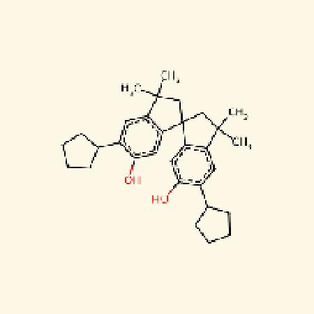 CC1(C)CC2(CC(C)(C)c3cc(C4CCCC4)c(O)cc32)c2cc(O)c(C3CCCC3)cc21